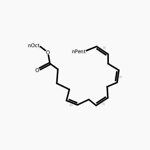 CCCCC/C=C\C/C=C\C/C=C\C/C=C\CCCC(=O)OCCCCCCCC